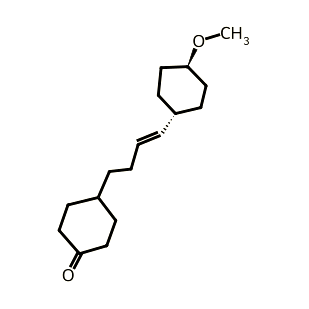 CO[C@H]1CC[C@H](C=CCCC2CCC(=O)CC2)CC1